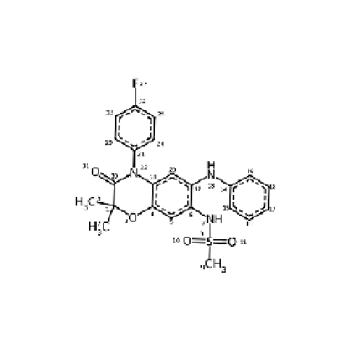 CC1(C)Oc2cc(NS(C)(=O)=O)c(Nc3ccccc3)cc2N(c2ccc(F)cc2)C1=O